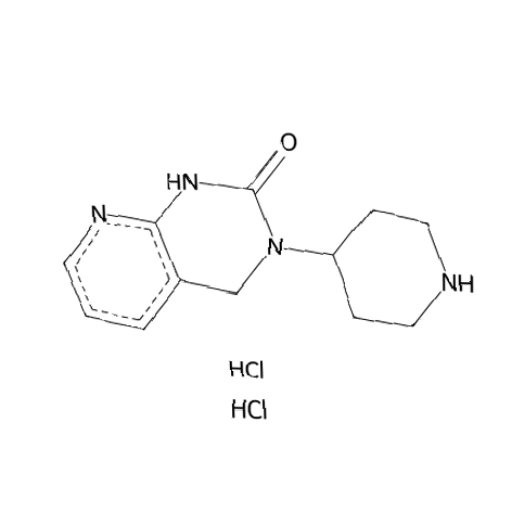 Cl.Cl.O=C1Nc2ncccc2CN1C1CCNCC1